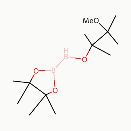 COC(C)(C)C(C)(C)OBB1OC(C)(C)C(C)(C)O1